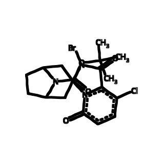 CC(C)(C)OC(=O)N1C2CCC1CC1(C2)N(Br)C(=O)c2c(Cl)ccc(=O)n21